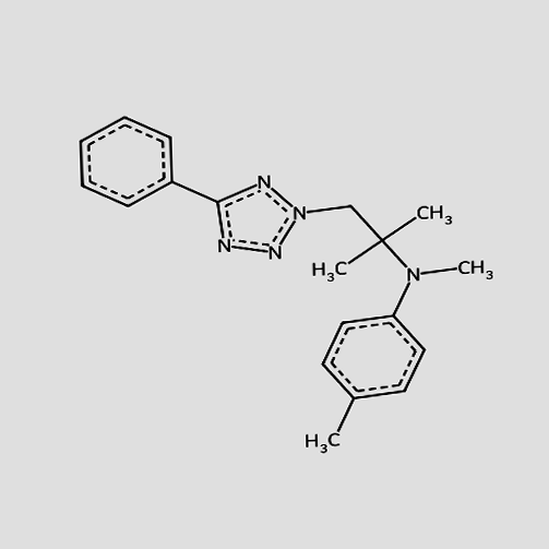 Cc1ccc(N(C)C(C)(C)Cn2nnc(-c3ccccc3)n2)cc1